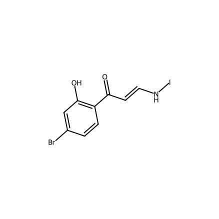 O=C(/C=C/NI)c1ccc(Br)cc1O